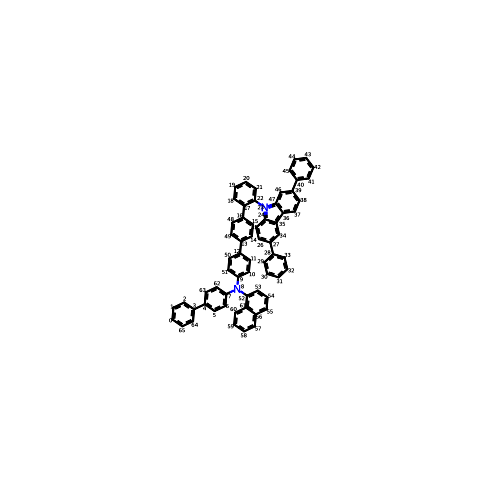 c1ccc(-c2ccc(N(c3ccc(-c4ccc(-c5ccccc5-n5c6ccc(-c7ccccc7)cc6c6ccc(-c7ccccc7)cc65)cc4)cc3)c3cccc4ccccc34)cc2)cc1